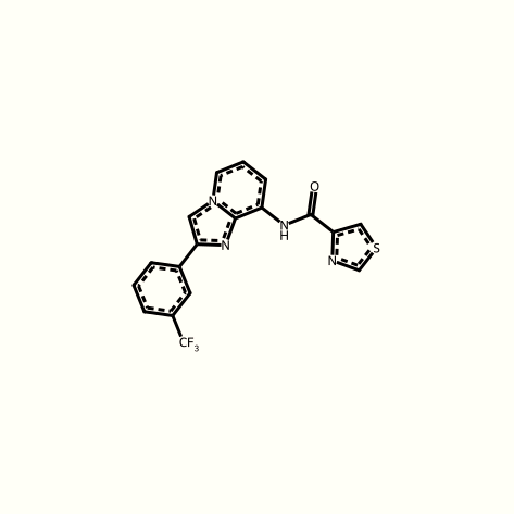 O=C(Nc1cccn2cc(-c3cccc(C(F)(F)F)c3)nc12)c1cscn1